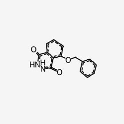 O=c1[nH][nH]c(=O)c2c(OCc3ccccc3)cccc12